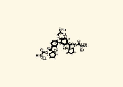 CCCCC(CC)Cn1c2ccc(/C(=N/OC(=O)N(CC)CC)C3(CC)CCCC3)cc2c2cc(/C(=N/OC(=O)N(CC)CC)C3(CC)CCCC3)ccc21